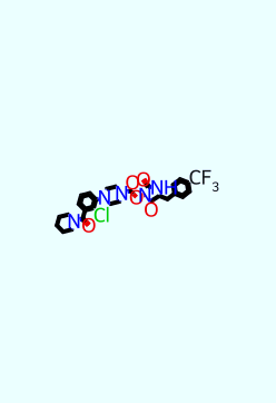 O=C(ON1C(=O)NC(Cc2ccc(C(F)(F)F)cc2)C1=O)N1CCN(c2cccc(C(=O)N3CCCCC3)c2Cl)CC1